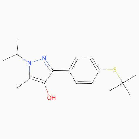 Cc1c(O)c(-c2ccc(SC(C)(C)C)cc2)nn1C(C)C